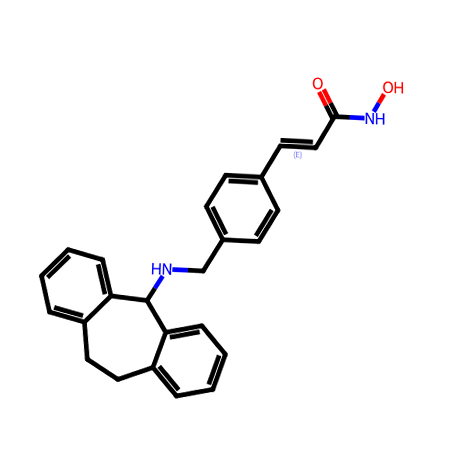 O=C(/C=C/c1ccc(CNC2c3ccccc3CCc3ccccc32)cc1)NO